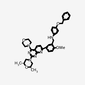 COc1ccc(-c2ccc3c(N4CCOCC4)nc(N4C[C@@H](C)O[C@@H](C)C4)nc3n2)cc1CNc1ccc(OCc2ccccc2)cc1